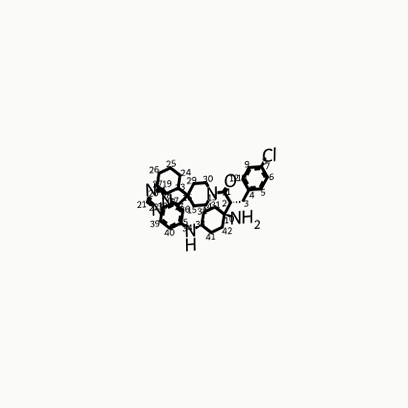 N[C@]1([C@@H](Cc2ccc(Cl)cc2)C(=O)N2CCC(Cn3cncn3)(C3CCCCC3)CC2)CC[C@H](Nc2ccccc2)CC1